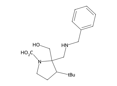 CC(C)(C)C1CCN(C(=O)O)C1(CO)CNCc1ccccc1